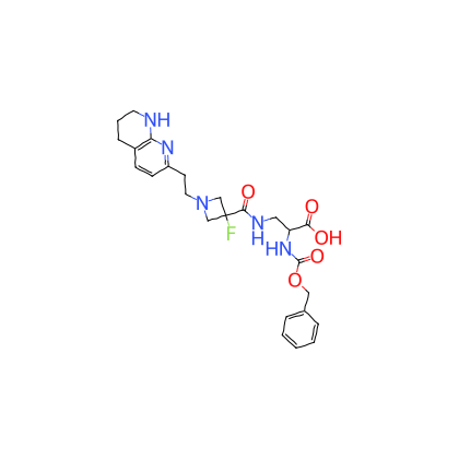 O=C(NC(CNC(=O)C1(F)CN(CCc2ccc3c(n2)NCCC3)C1)C(=O)O)OCc1ccccc1